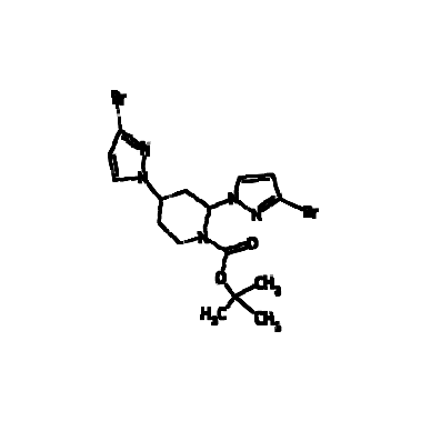 CC(C)(C)OC(=O)N1CCC(n2ccc(Br)n2)CC1n1ccc(Br)n1